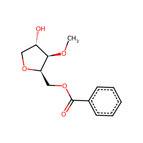 CO[C@@H]1[C@@H](O)CO[C@@H]1COC(=O)c1ccccc1